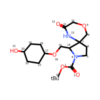 CC(C)(C)OC(=O)N1CCC2(COCC(=O)N2)C1COC1CCC(O)CC1